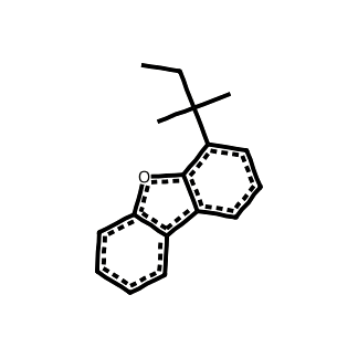 CCC(C)(C)c1cccc2c1oc1ccccc12